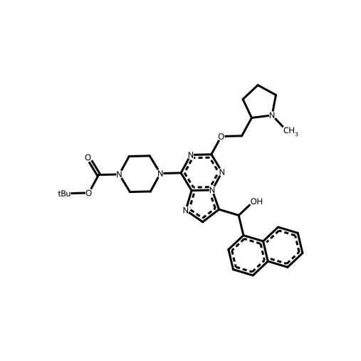 CN1CCCC1COc1nc(N2CCN(C(=O)OC(C)(C)C)CC2)c2ncc(C(O)c3cccc4ccccc34)n2n1